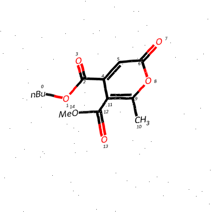 CCCCOC(=O)c1cc(=O)oc(C)c1C(=O)OC